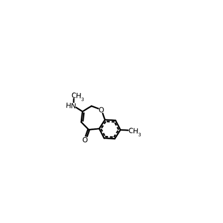 CNC1=CC(=O)c2ccc(C)cc2OC1